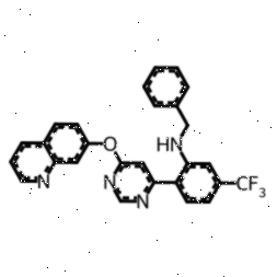 FC(F)(F)c1ccc(-c2cc(Oc3ccc4cccnc4c3)ncn2)c(NCc2ccccc2)c1